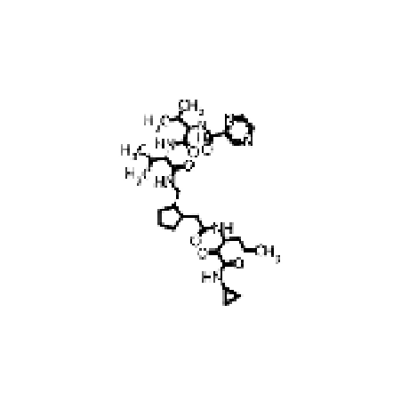 CCCC(NC(=O)C[C@H]1CCC[C@H]1CNC(=O)[C@@H](NC(=O)[C@H](NC(=O)c1cnccn1)C(C)C)C(C)C)C(=O)C(=O)NC1CC1